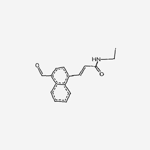 CCNC(=O)/C=C/c1ccc(C=O)c2ccccc12